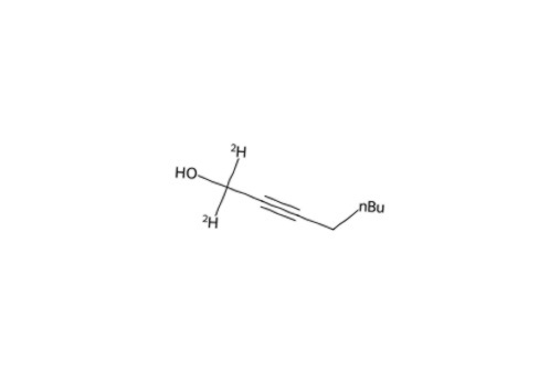 [2H]C([2H])(O)C#CCCCCC